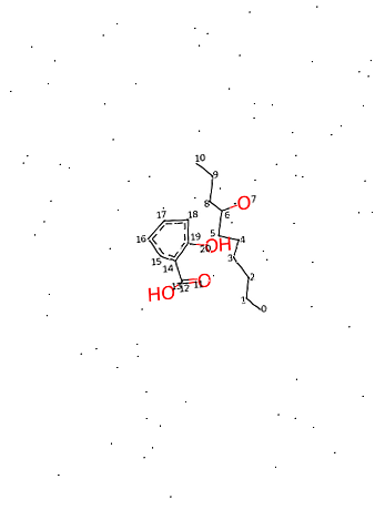 CCCCCCC([O])CCC.O=C(O)c1ccccc1O